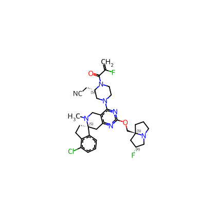 C=C(F)C(=O)N1CCN(c2nc(OC[C@@]34CCCN3C[C@H](F)C4)nc3c2CN(C)[C@@]2(CCc4c(Cl)cccc42)C3)C[C@@H]1CC#N